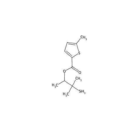 Cc1ccc(C(=O)OC(C)C(C)(C)[SiH3])s1